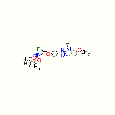 COc1ccc(Cn2nc(-c3ccc(OC/C(=C/F)CNC(=O)OC(C)(C)C)cc3)nc2NC2CC2)cc1